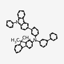 CC1(C)c2ccccc2-c2ccc(N(c3cccc(-c4ccccc4)c3)c3cccc(-c4ccc5c(c4)c4ccccc4n5-c4ccccc4)c3)cc21